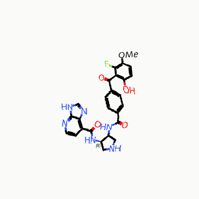 COc1ccc(O)c(C(=O)c2ccc(C(=O)NC3CNC[C@H]3NC(=O)c3ccnc4[nH]cnc34)cc2)c1F